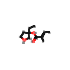 CC=C(C)C(=O)OC1(CC)CCOC1